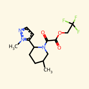 CC1CCC(c2ccnn2C)N(C(=O)C(=O)OCC(F)(F)F)C1